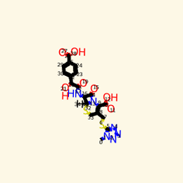 Cn1nnnc1SCC1=C(C(=O)O)N2C(=O)C(NC(=O)C(O)c3ccc(C(=O)O)cc3)[C@H]2SC1